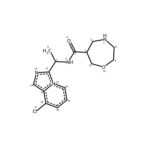 CC(NC(=O)C1CNCCOC1)c1ncc2c(Cl)cccn12